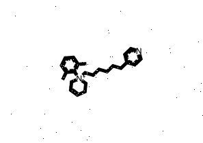 Cc1cccc(C)c1[N+]1(CCCCCCc2ccncc2)CC=CCC1